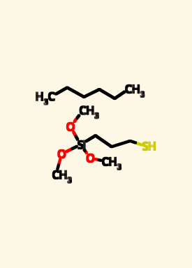 CCCCCC.CO[Si](CCCS)(OC)OC